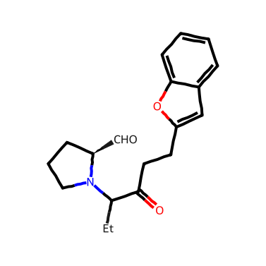 CCC(C(=O)CCc1cc2ccccc2o1)N1CCC[C@H]1C=O